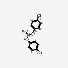 CCN(Oc1ccc(Cl)cc1)Oc1ccc(Cl)cc1